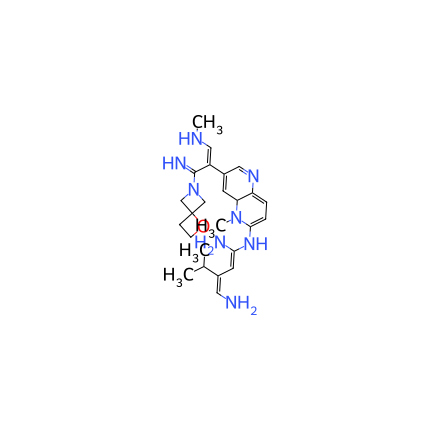 CN/C=C(\C(=N)N1CC2(CCO2)C1)C1=CC2C(=CC=C(N/C(N)=C/C(=C\N)C(C)C)N2C)N=C1